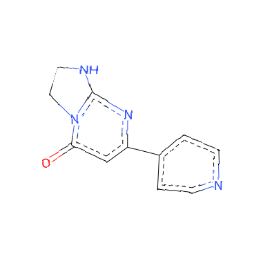 O=c1cc(-c2ccncc2)nc2n1CCN2